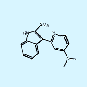 CSc1[nH]c2ccccc2c1-c1cc(N(C)C)ccn1